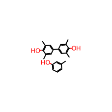 Cc1cc(-c2cc(C)c(O)c(C)c2)cc(C)c1O.Cc1cccc(O)c1